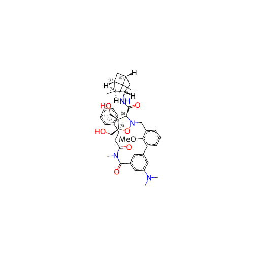 COc1c(CN2O[C@@H](CO)[C@@H]([C@H](C)O)[C@H]2C(=O)N[C@H]2C[C@H]3C[C@@H]([C@@H]2C)C3(C)C)cccc1-c1cc(C(=O)N(C)C(=O)CCc2ccccc2)cc(N(C)C)c1